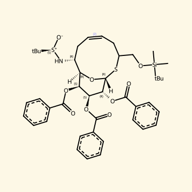 CC(C)(C)[S@@+]([O-])N[C@@H]1C/C=C\CC(CO[Si](C)(C)C(C)(C)C)S[C@H]2O[C@H]1[C@H](OC(=O)c1ccccc1)[C@H](OC(=O)c1ccccc1)[C@H]2OC(=O)c1ccccc1